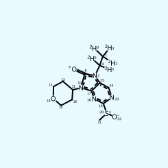 [2H]C([2H])([2H])C([2H])([2H])n1c(=O)n(C2CCOCC2)c2nc([S+](C)[O-])ncc21